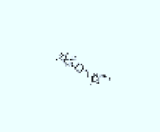 Cc1nc(C(=O)Nc2ccc(CC[C@@H]3N=C(N)O[C@H]3C)cc2)c(C)o1